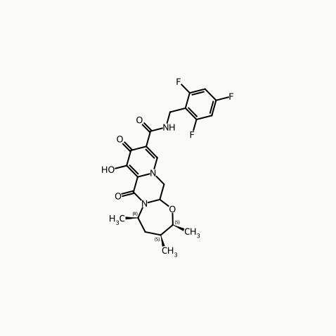 C[C@@H]1OC2Cn3cc(C(=O)NCc4c(F)cc(F)cc4F)c(=O)c(O)c3C(=O)N2[C@H](C)C[C@@H]1C